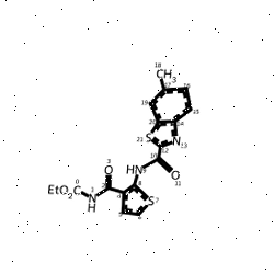 CCOC(=O)NC(=O)c1ccsc1NC(=O)c1nc2ccc(C)cc2s1